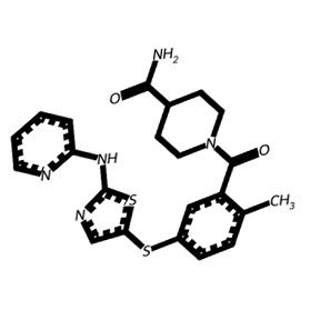 Cc1ccc(Sc2cnc(Nc3ccccn3)s2)cc1C(=O)N1CCC(C(N)=O)CC1